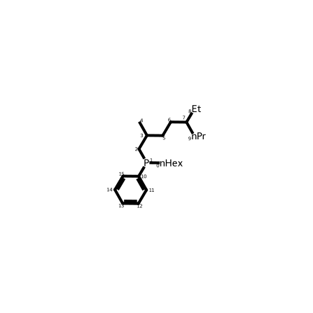 CCCCCCP(CC(C)CCC(CC)CCC)c1ccccc1